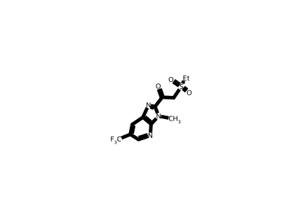 CCS(=O)(=O)CC(=O)c1nc2cc(C(F)(F)F)cnc2n1C